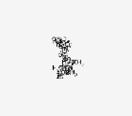 COc1cc2nc(C)nc(N[C@H](C)c3cc(N)cc(C(F)(F)F)c3)c2cc1O[C@H]1CCN(C(=O)C2CCN(c3cccc4c3C(=O)N(C3CCC(=O)NC3=O)C4=O)CC2)C1